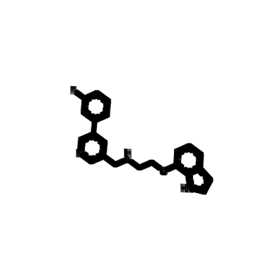 Fc1cccc(-c2cncc(CNCCOc3cccc4cc[nH]c34)c2)c1